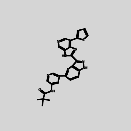 CC(C)(C)C(=O)Nc1cncc(-c2ccc3[nH]nc(-c4nc5c(-c6cccs6)cncc5[nH]4)c3n2)c1